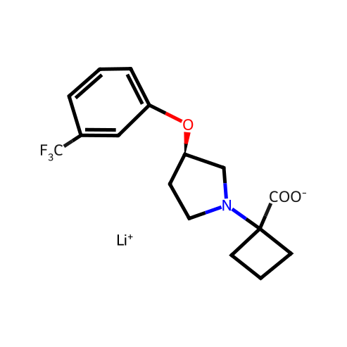 O=C([O-])C1(N2CC[C@@H](Oc3cccc(C(F)(F)F)c3)C2)CCC1.[Li+]